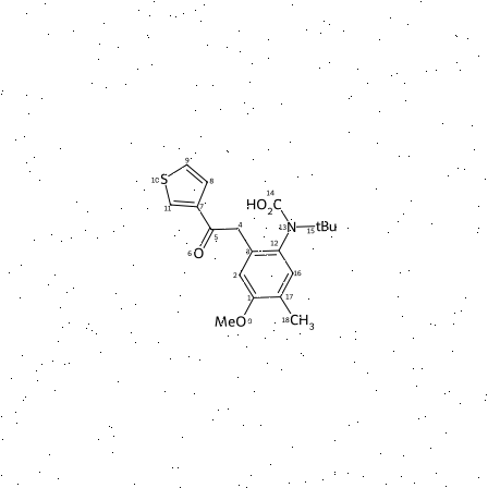 COc1cc(CC(=O)c2ccsc2)c(N(C(=O)O)C(C)(C)C)cc1C